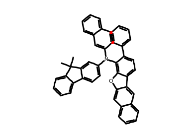 CC1(C)c2ccccc2-c2ccc(N(c3ccc4ccccc4c3)c3c(-c4ccccc4)ccc4c3oc3cc5ccccc5cc34)cc21